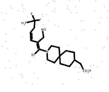 CC/C(=C(\C=C/CC(F)(F)P)CN=O)N1CCC2(CCC(CC(=O)O)CC2)CC1